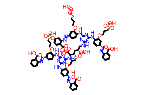 O=C(O)c1ccccc1N=Nc1ccc(Nc2nc(NCCCCC(Nc3nc(Nc4ccc(N=Nc5ccccc5C(=O)O)cc4OCCCSOOO)nc(Nc4ccc(N=Nc5ccccc5C(=O)O)cc4OCCCS(=O)(=O)O)n3)C(=O)O)nc(Nc3ccc(N=Nc4ccccc4C(=O)O)cc3OCCCS(=O)(=O)O)n2)c(OCCCSOOO)c1